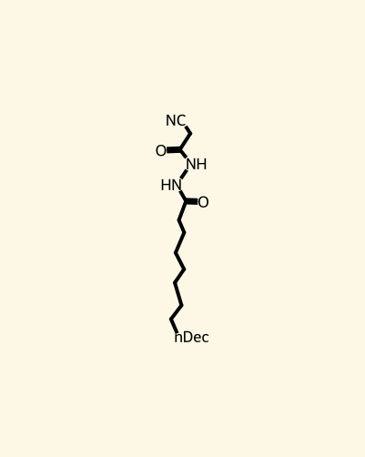 CCCCCCCCCCCCCCCCCC(=O)NNC(=O)CC#N